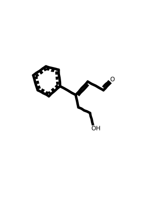 O=CC=C(CCO)c1ccccc1